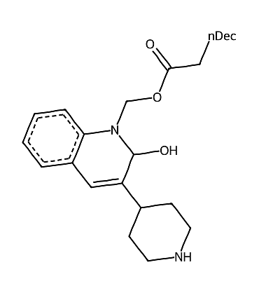 CCCCCCCCCCCC(=O)OCN1c2ccccc2C=C(C2CCNCC2)C1O